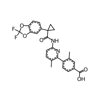 Cc1cc(C(=O)O)ccc1-c1nc(NC(=O)C2(c3ccc4c(c3)OC(F)(F)O4)CC2)ccc1C